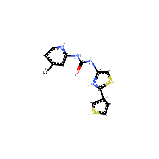 CCc1ccnc(NC(=O)Nc2csc(-c3ccsc3)n2)c1